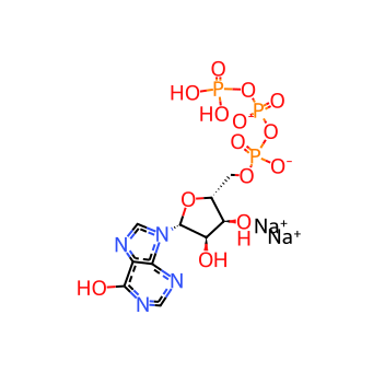 O=P(O)(O)OP(=O)([O-])OP(=O)([O-])OC[C@H]1O[C@@H](n2cnc3c(O)ncnc32)[C@H](O)[C@@H]1O.[Na+].[Na+]